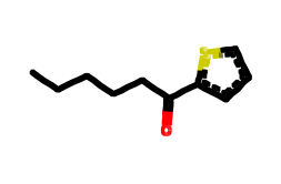 CCCCCC(=O)c1cccs1